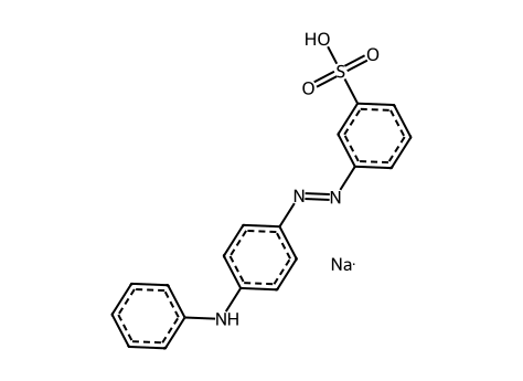 O=S(=O)(O)c1cccc(N=Nc2ccc(Nc3ccccc3)cc2)c1.[Na]